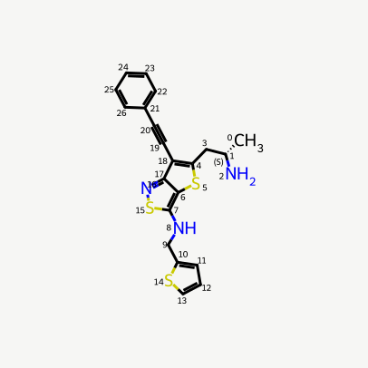 C[C@H](N)Cc1sc2c(NCc3cccs3)snc2c1C#Cc1ccccc1